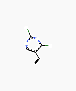 C=Cc1cnc(Cl)nc1Cl